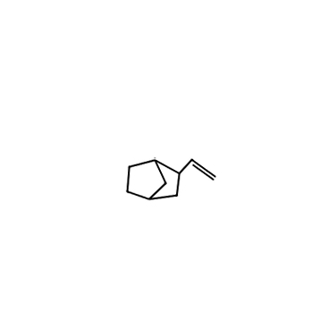 C=CC1CC2CC[C]1C2